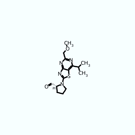 COCc1nc(C(C)C)c2sc(N3CCC[C@@H]3C=O)nc2n1